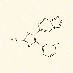 Cc1cccc(-c2nc(N)sc2-c2ccc3nccn3c2)c1